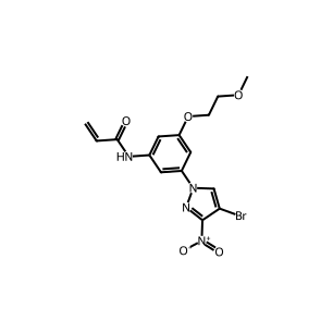 C=CC(=O)Nc1cc(OCCOC)cc(-n2cc(Br)c([N+](=O)[O-])n2)c1